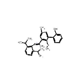 COc1c(/C(C)=N/c2c(C(C)C)cccc2C(C)C)cc(C)cc1-c1ccccc1O